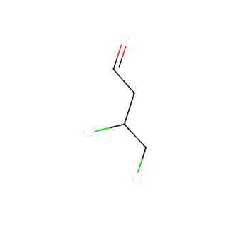 O=CCC(Cl)CCl